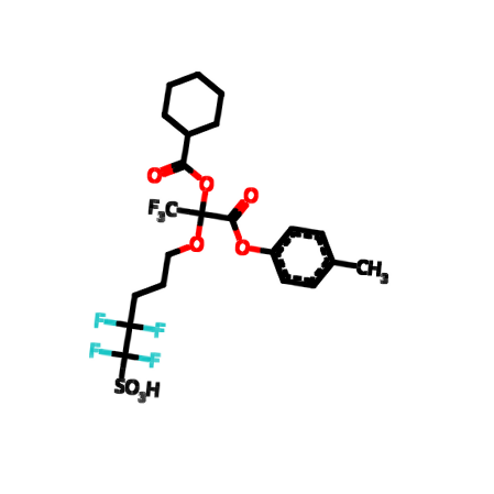 Cc1ccc(OC(=O)C(OCCCC(F)(F)C(F)(F)S(=O)(=O)O)(OC(=O)C2CCCCC2)C(F)(F)F)cc1